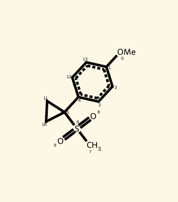 COc1ccc(C2(S(C)(=O)=O)CC2)cc1